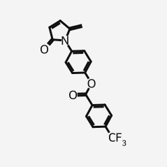 C=C1C=CC(=O)N1c1ccc(OC(=O)c2ccc(C(F)(F)F)cc2)cc1